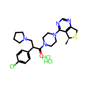 C[C@@H]1SCc2ncnc(N3CCN(C(=O)C(CN4CCCC4)c4ccc(Cl)cc4)CC3)c21.Cl.Cl